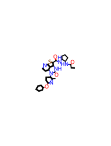 C=CC(=O)NC1CCCC1NC(=O)c1sc2nccc3c2c1NC(=O)N3c1ccc(Oc2ccccc2)nc1C